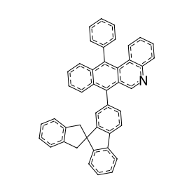 c1ccc(-c2c3ccccc3c(-c3ccc4c(c3)C3(Cc5ccccc5C3)c3ccccc3-4)c3cnc4ccccc4c23)cc1